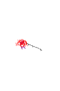 CC(C)=CCC/C=C/CC/C(C)=C/CC/C(C)=C/COP(O)O[PH](O)(O)O